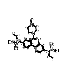 CC=[N+](c1ccc2c(c1)nc(N1CCN(C)CC1)c1cc([N+](=CC)N(CC)CC)ccc12)N(CC)CC